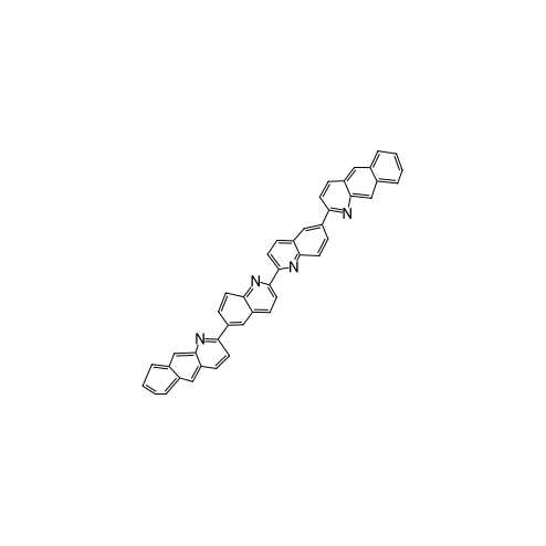 c1ccc2cc3nc(-c4ccc5nc(-c6ccc7cc(-c8ccc9cc%10ccccc%10cc9n8)ccc7n6)ccc5c4)ccc3cc2c1